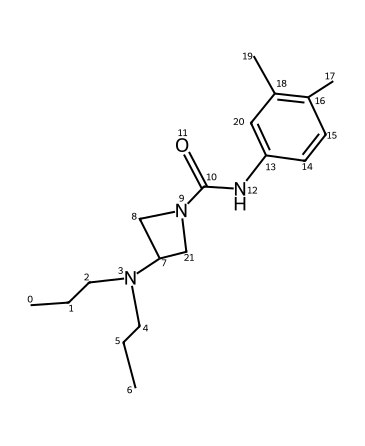 CCCN(CCC)C1CN(C(=O)Nc2ccc(C)c(C)c2)C1